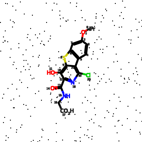 CC(C)Oc1ccc2c(c1)sc1c(O)c(C(=O)NCC(=O)O)nc(Cl)c12